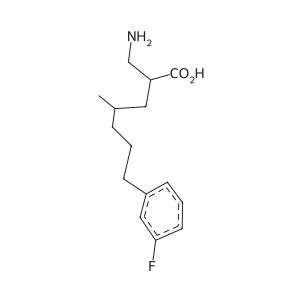 CC(CCCc1cccc(F)c1)CC(CN)C(=O)O